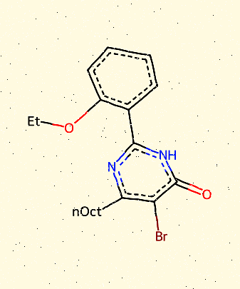 CCCCCCCCc1nc(-c2ccccc2OCC)[nH]c(=O)c1Br